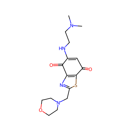 CN(C)CCNC1=CC(=O)c2sc(CN3CCOCC3)nc2C1=O